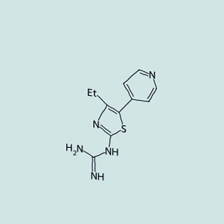 CCc1nc(NC(=N)N)sc1-c1ccncc1